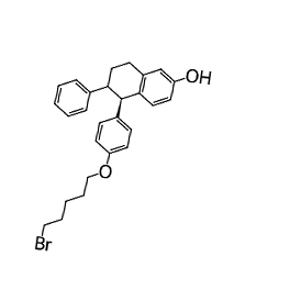 Oc1ccc2c(c1)CCC(c1ccccc1)[C@@H]2c1ccc(OCCCCCBr)cc1